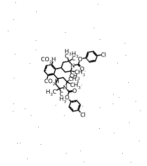 CC1(C)CC(c2c(C(=O)O)ccc(C(=O)O)c2C2CC(C)(C)N(C(=O)Oc3ccc(Cl)cc3)C(C)(C)C2)CC(C)(C)N1C(=O)Oc1ccc(Cl)cc1